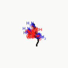 C#CCCCCC#Cc1cn([C@H]2CC(OP(=O)(O)OC[C@H]3O[C@@H](n4cc(C)c(=O)[nH]c4=O)CC3OP(=O)(O)OC[C@H]3O[C@@H](n4ccc(N)nc4=O)CC3OP(=O)(O)OC[C@H]3O[C@@H](n4cnc5c(N)ncnc54)CC3O)[C@@H](COP(=O)(O)CC3C[C@H](n4ccc(N)nc4=O)O[C@@H]3COP(=O)(O)O)O2)c(=O)[nH]c1=O